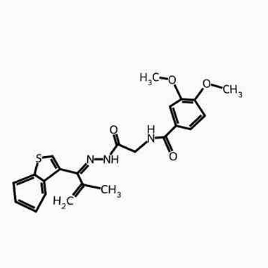 C=C(C)/C(=N\NC(=O)CNC(=O)c1ccc(OC)c(OC)c1)c1csc2ccccc12